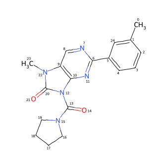 Cc1cccc(-c2ncc3c(n2)n(C(=O)N2CCCC2)c(=O)n3C)c1